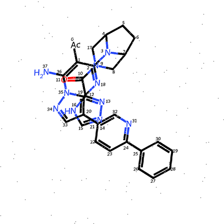 CC(=O)c1c(N2C3CCC2CN(C(=O)c2nnc[nH]2)C3)nc2c(-c3ccc(-c4ccccc4)nc3)cnn2c1N